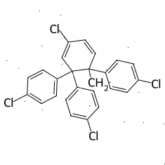 [CH2]C1(c2ccc(Cl)cc2)C=CC(Cl)=CC1(c1ccc(Cl)cc1)c1ccc(Cl)cc1